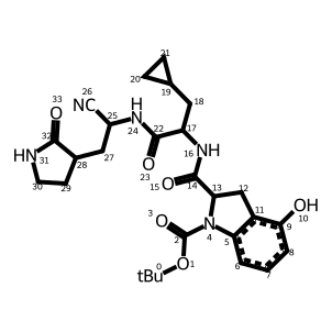 CC(C)(C)OC(=O)N1c2cccc(O)c2CC1C(=O)NC(CC1CC1)C(=O)NC(C#N)CC1CCNC1=O